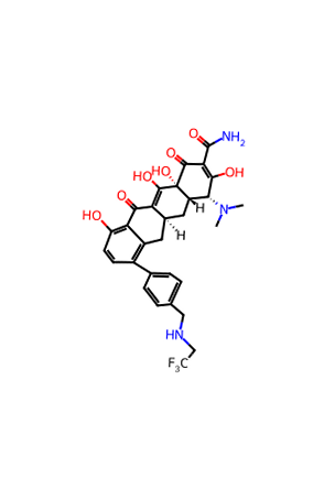 CN(C)[C@H]1C(O)=C(C(N)=O)C(=O)[C@]2(O)C(O)=C3C(=O)c4c(O)ccc(-c5ccc(CNCC(F)(F)F)cc5)c4C[C@@H]3C[C@@H]12